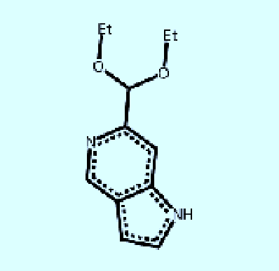 CCOC(OCC)c1cc2[nH]ccc2cn1